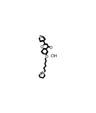 Cl.O=c1cc(-c2ccncc2)oc2ccc(OCCCCCCN3CCCCC3)cc12